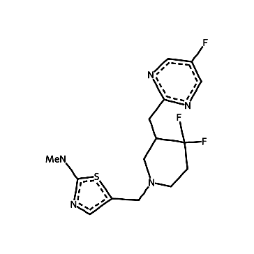 CNc1ncc(CN2CCC(F)(F)C(Cc3ncc(F)cn3)C2)s1